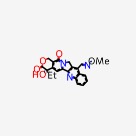 CC[C@@]1(O)C(=O)OCc2c1cc1n(c2=O)Cc2c-1nc1ccccc1c2C=NOC